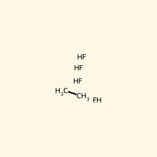 CC.F.F.F.F